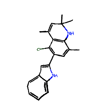 CC1=CC(C)(C)Nc2c(C)cc(-c3cc4ccccc4[nH]3)c(Cl)c21